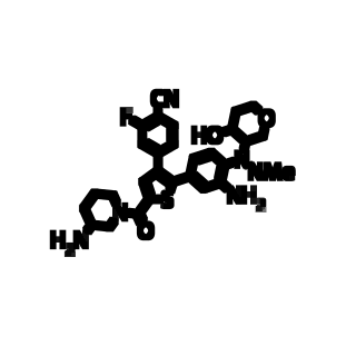 CNN(c1ccc(-c2sc(C(=O)N3CCCC(N)C3)cc2-c2ccc(C#N)c(F)c2)cc1N)C1COCCC1O